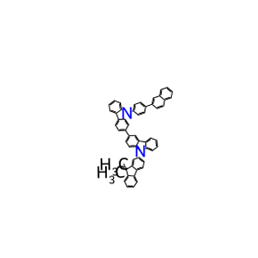 CC1(C)c2ccccc2-c2ccc(-n3c4ccccc4c4cc(-c5ccc6c7ccccc7n(-c7ccc(-c8ccc9ccccc9c8)cc7)c6c5)ccc43)cc21